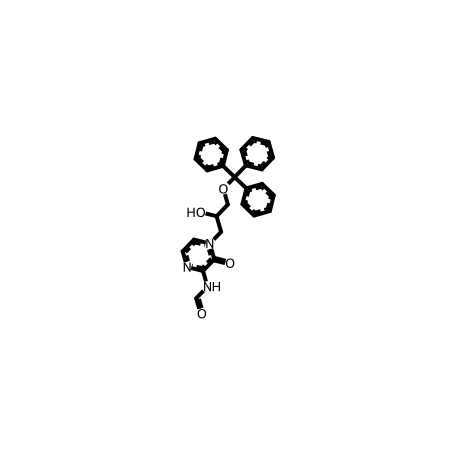 O=CNc1nccn(CC(O)COC(c2ccccc2)(c2ccccc2)c2ccccc2)c1=O